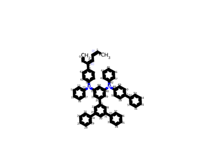 C=C/C(=C\C=C/C)c1ccc(N(c2ccccc2)c2cc(-c3cc(-c4ccccc4)cc(-c4ccccc4)c3)cc(N(c3ccccc3)c3ccc(-c4ccccc4)cc3)c2)cc1